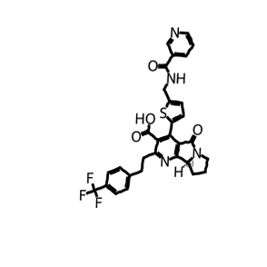 O=C(NCc1ccc(-c2c(C(=O)O)c(CCc3ccc(C(F)(F)F)cc3)nc3c2C(=O)N2CCC[C@@H]32)s1)c1cccnc1